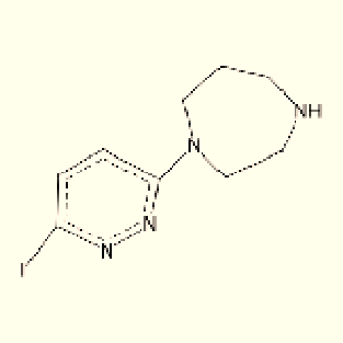 Ic1ccc(N2CCCNCC2)nn1